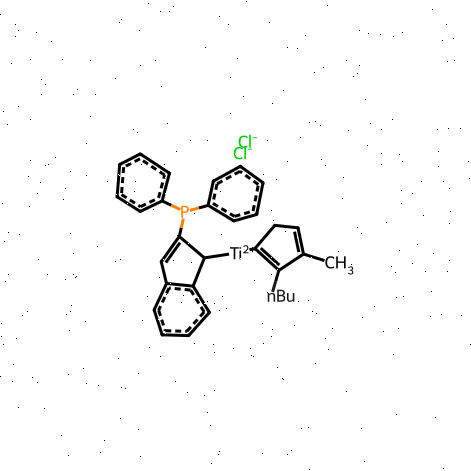 CCCCC1=[C]([Ti+2][CH]2C(P(c3ccccc3)c3ccccc3)=Cc3ccccc32)CC=C1C.[Cl-].[Cl-]